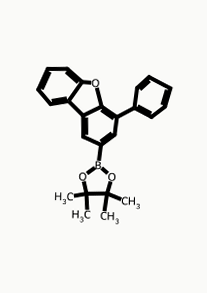 CC1(C)OB(c2cc(-c3ccccc3)c3oc4ccccc4c3c2)OC1(C)C